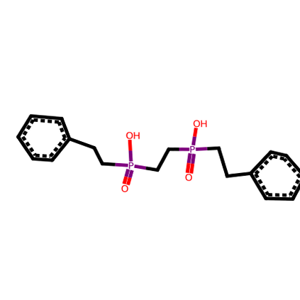 O=P(O)(CCc1ccccc1)CCP(=O)(O)CCc1ccccc1